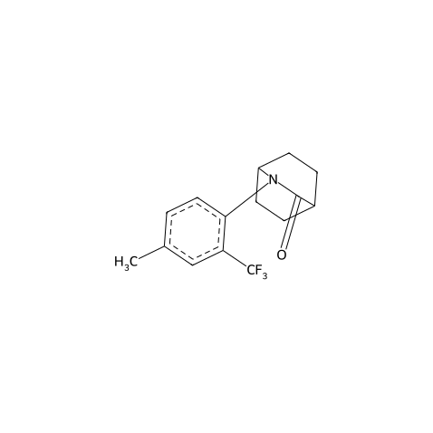 Cc1ccc(N2C(=O)C3CCC2CC3)c(C(F)(F)F)c1